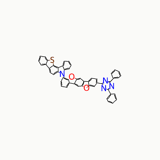 c1ccc(-c2nc(-c3ccccc3)nc(-c3ccc4c(c3)oc3cc5c(cc34)oc3c(-n4c6ccccc6c6c7sc8ccccc8c7ccc64)cccc35)n2)cc1